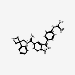 C=C(NCC1(c2ccccc2)CSC1)C1=CCC2NN=C(c3ccc(CC(CCC)CCC)cc3)C2=C1